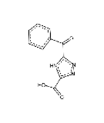 O=C(O)c1nnc(C(=O)c2ccccc2)[nH]1